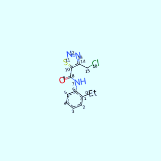 CCc1ccccc1NC(=O)c1snnc1CCl